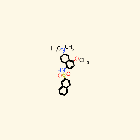 COc1ccc(NS(=O)(=O)c2ccc3ccccc3c2)c2c1C[C@@H](N(C)C)CC2